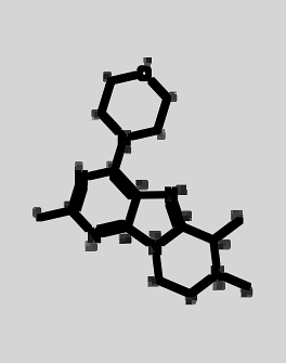 Cc1nc(N2CCOCC2)c2nc3n(c2n1)CCN(C)C3C